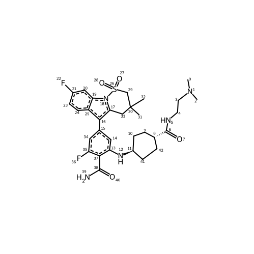 CN(C)CCNC(=O)[C@H]1CC[C@H](Nc2cc(-c3c4n(c5cc(F)ccc35)S(=O)(=O)CC(C)(C)C4)cc(F)c2C(N)=O)CC1